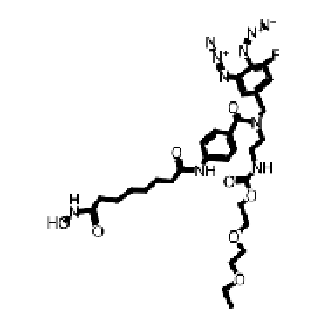 CCOCCOCCOC(=O)NCCN(Cc1cc(F)c(N=[N+]=[N-])c(N=[N+]=[N-])c1)C(=O)c1ccc(NC(=O)CCCCCCC(=O)NO)cc1